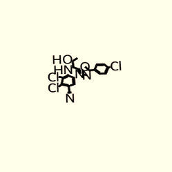 CC(O)[C@H](Nc1ccc(C#N)c(Cl)c1Cl)c1nnc(-c2ccc(Cl)cc2)o1